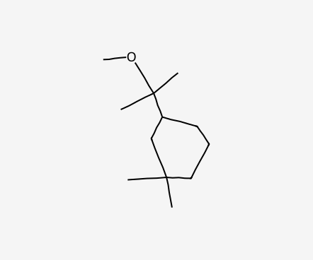 COC(C)(C)C1CCCC(C)(C)C1